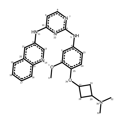 COc1cc(Nc2nccc(Nc3cnc4ccccc4c3)n2)ccc1OC1CC(N(C)C)C1